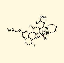 COCOc1cc(-c2nc3c4c(nc(SC)nc4c2F)N2CCOCCC2CC3)c2c(C#C[Si](C(C)C)(C(C)C)C(C)C)c(F)ccc2c1